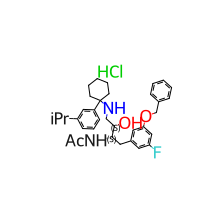 CC(=O)N[C@@H](Cc1cc(F)cc(OCc2ccccc2)c1)[C@@H](O)CNC1(c2cccc(C(C)C)c2)CCCCC1.Cl